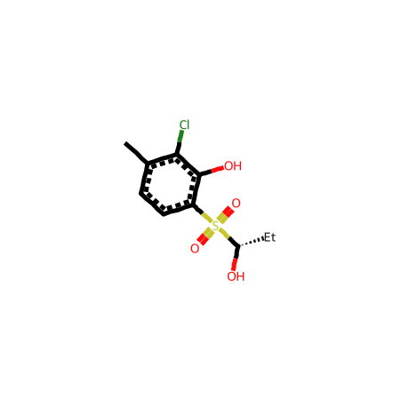 CC[C@H](O)S(=O)(=O)c1ccc(C)c(Cl)c1O